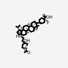 CC(=O)N1CCC(O)(CCN[C@]23CC[C@@H](C(C)C)[C@@H]2[C@H]2CC[C@@H]4[C@@]5(C)CC=C(C6=CC[C@](CF)(C(=O)O)CC6)C(C)(C)[C@@H]5CC[C@@]4(C)[C@]2(C)CC3)CC1